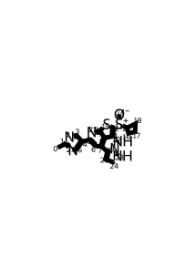 Cc1ncc(-c2cc3c4n([nH]c5c([S+]([O-])C6CCC6)sc(n2)c53)NCC=4)cn1